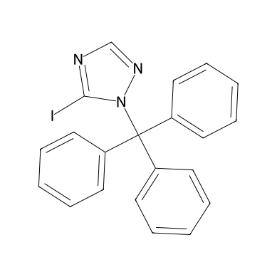 Ic1ncnn1C(c1ccccc1)(c1ccccc1)c1ccccc1